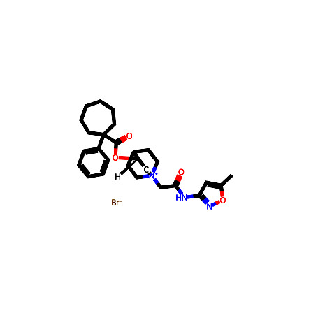 Cc1cc(NC(=O)C[N+]23CCC(CC2)[C@@H](OC(=O)C2(c4ccccc4)CCCCCC2)C3)no1.[Br-]